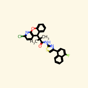 CC(C)(C(=O)Nc1nc(-c2ccc(F)c3ccccc23)cs1)C1c2ccccc2Oc2nc(Cl)ccc21